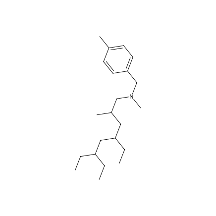 CCC(CC)CC(CC)CC(C)CN(C)Cc1ccc(C)cc1